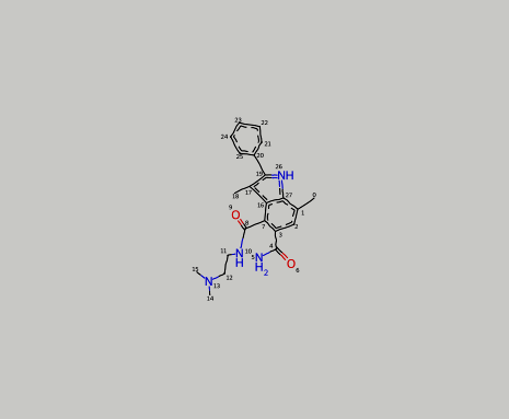 Cc1cc(C(N)=O)c(C(=O)NCCN(C)C)c2c(C)c(-c3ccccc3)[nH]c12